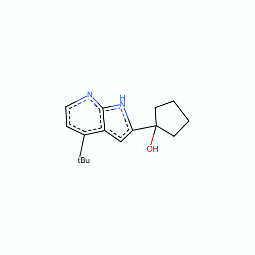 CC(C)(C)c1ccnc2[nH]c(C3(O)CCCC3)cc12